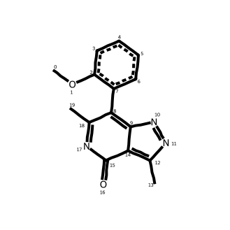 COc1ccccc1C1=C2N=NC(C)=C2C(=O)N=C1C